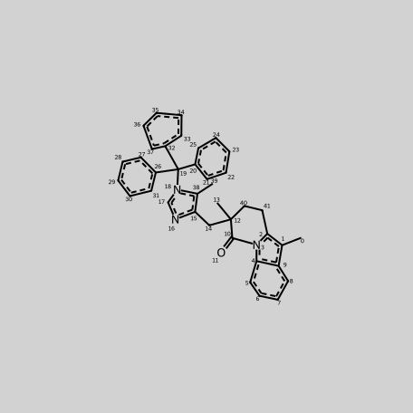 Cc1c2n(c3ccccc13)C(=O)C(C)(Cc1ncn(C(c3ccccc3)(c3ccccc3)c3ccccc3)c1C)CC2